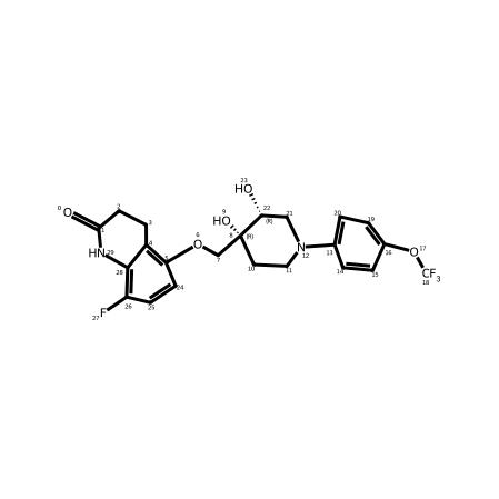 O=C1CCc2c(OC[C@]3(O)CCN(c4ccc(OC(F)(F)F)cc4)C[C@H]3O)ccc(F)c2N1